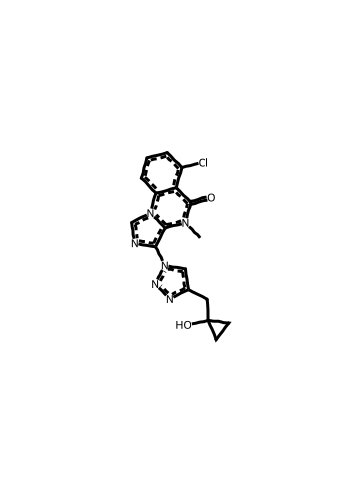 Cn1c(=O)c2c(Cl)cccc2n2cnc(-n3cc(CC4(O)CC4)nn3)c12